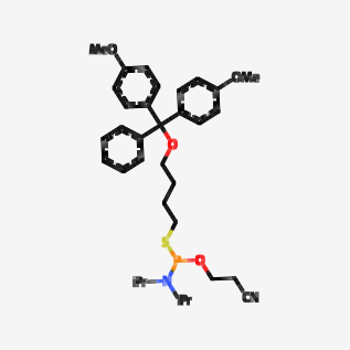 COc1ccc(C(OCCCCSP(OCCC#N)N(C(C)C)C(C)C)(c2ccccc2)c2ccc(OC)cc2)cc1